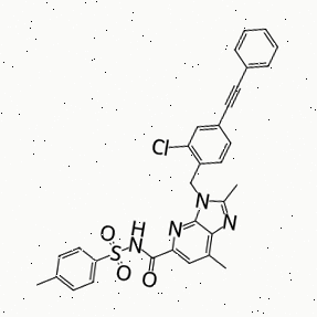 Cc1ccc(S(=O)(=O)NC(=O)c2cc(C)c3nc(C)n(Cc4ccc(C#Cc5ccccc5)cc4Cl)c3n2)cc1